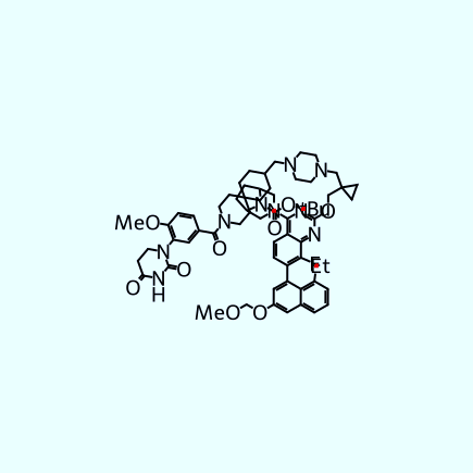 CCc1cccc2cc(OCOC)cc(-c3ccc4c(N5CC6CCC(C5)N6C(=O)OC(C)(C)C)nc(OCC5(CN6CCN(CC7CCC8(CC7)CCN(C(=O)c7ccc(OC)c(N9CCC(=O)NC9=O)c7)CC8)CC6)CC5)nc4c3F)c12